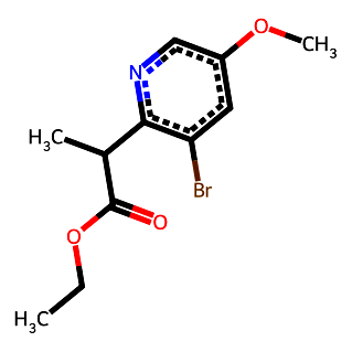 CCOC(=O)C(C)c1ncc(OC)cc1Br